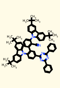 CC(C)(C)c1ccc2c(c1)c1cc(C(C)(C)C)ccc1n2-c1ccc(-c2nc(-c3ccccc3)nc(-c3ccccc3)n2)cc1-c1cccc(-n2c3ccc(C(C)(C)C)cc3c3cc(C(C)(C)C)ccc32)c1C#N